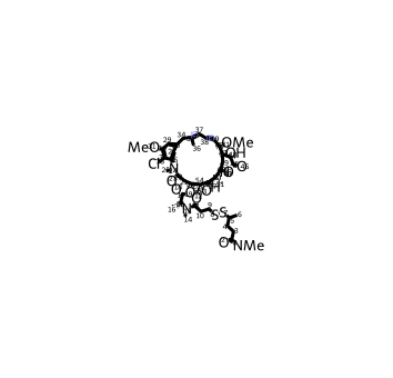 CNC(=O)CCC(C)SSCCC(=O)N(C)[C@H](C)C(=O)O[C@@H]1CC(=O)N(C)c2cc(cc(OC)c2Cl)C/C(C)=C/C=C/[C@H](OC)[C@@]2(O)CC(=O)O[C@H](C2)[C@H](C)[C@H]2O[C@@]21C